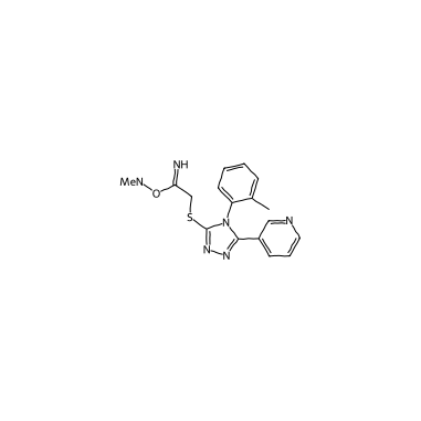 CNOC(=N)CSc1nnc(-c2cccnc2)n1-c1ccccc1C